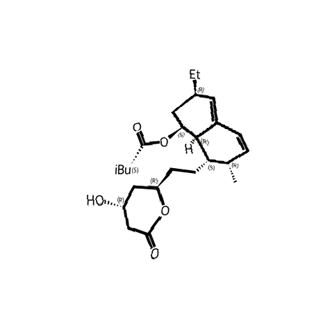 CC[C@H]1C=C2C=C[C@H](C)[C@H](CC[C@@H]3C[C@@H](O)CC(=O)O3)[C@H]2[C@@H](OC(=O)[C@@H](C)CC)C1